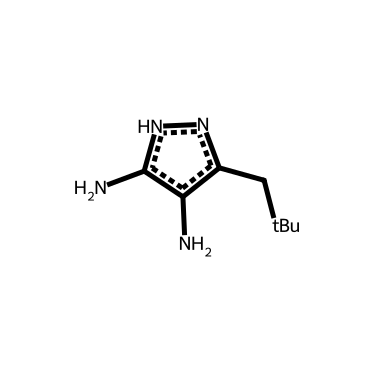 CC(C)(C)Cc1n[nH]c(N)c1N